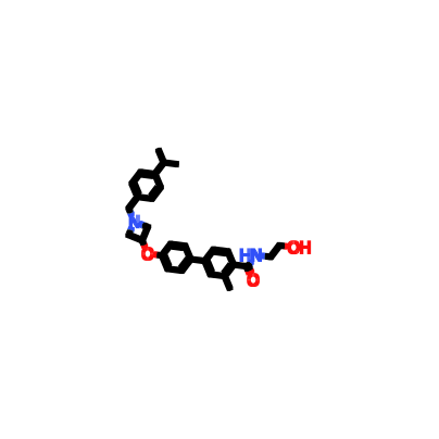 Cc1cc(-c2ccc(OC3CN(Cc4ccc(C(C)C)cc4)C3)cc2)ccc1C(=O)NCCO